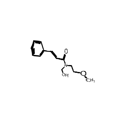 COCCN(CO)C(=O)C=Cc1ccccc1